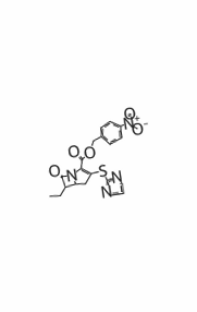 CCC1C(=O)N2C(C(=O)OCc3ccc([N+](=O)[O-])cc3)=C(Sc3ncccn3)CC12